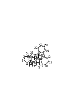 C[C@@]12CCC[C@H]1[C@@H]1CCC3C=CC=C[C@@H]3[C@H]1[C@@H](c1ccccc1)C2